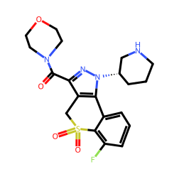 O=C(c1nn([C@H]2CCCNC2)c2c1CS(=O)(=O)c1c(F)cccc1-2)N1CCOCC1